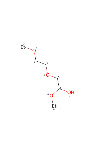 [CH2]COCCOCC(O)OCC